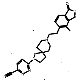 Cc1c(CCN2CCC3(CC2)CCN(c2ccc(C#N)nn2)C3)ccc2c1COC2=O